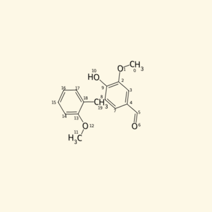 COc1cc(C=O)ccc1O.COc1ccccc1C